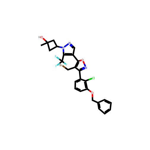 CC1(O)CC(n2ncc(-c3onc(-c4cccc(OCc5ccccc5)c4Cl)c3CBr)c2C(F)(F)F)C1